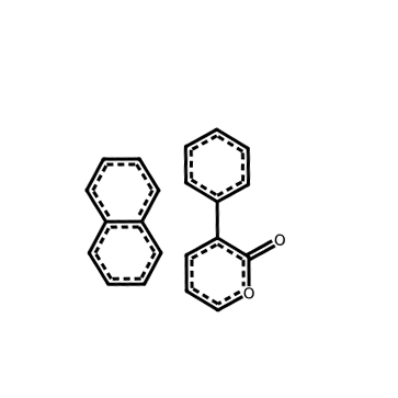 O=c1occcc1-c1ccccc1.c1ccc2ccccc2c1